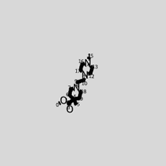 COC(=O)C1(C)CCN(CCN2CCN(I)CC2)CC1